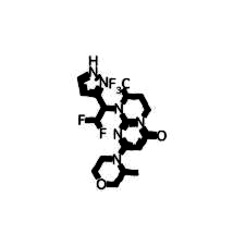 CC1COCCN1c1cc(=O)n2c(n1)N(C(c1cc[nH]n1)C(F)F)C(C(F)(F)F)CC2